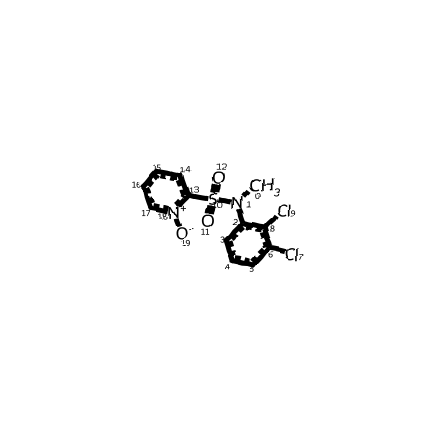 CN(c1cccc(Cl)c1Cl)S(=O)(=O)c1cccc[n+]1[O-]